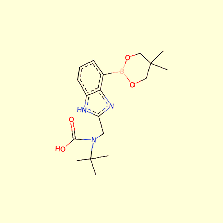 CC1(C)COB(c2cccc3[nH]c(CN(C(=O)O)C(C)(C)C)nc23)OC1